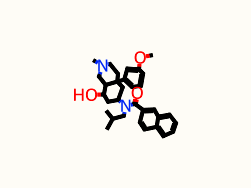 COc1cccc(C23CCN(C)CC2C(O)CC(N(CC(C)C)C(=O)c2ccc4ccccc4c2)C3)c1